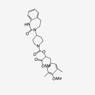 COC(=O)C(Cc1cc(C)c(OC)c(C)c1)OC(=O)N1CCC(N2CCc3ccccc3NC2=O)CC1